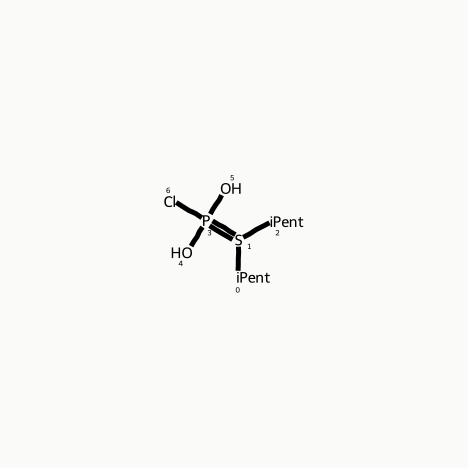 CCCC(C)S(C(C)CCC)=P(O)(O)Cl